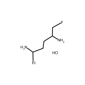 CCC(N)CCC(N)CF.Cl